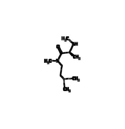 CN[C@@H](C)C(=O)N(C)CCC(C)C